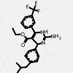 CCOC(=O)C1=C(c2cccc(C(F)(F)F)c2)NC(N)=NC1c1ccc(CC(C)C)cc1